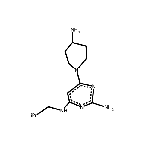 CC(C)CNc1cc(N2CCC(N)CC2)nc(N)n1